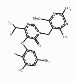 COc1nc(C)nc(C)c1Cn1cnc(C(F)C(F)(F)F)c(Oc2cc(C)cc(C#N)c2F)c1=O